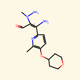 Cc1nc(/C(N)=C(\C=O)N(C)N)ccc1OC1CCOCC1